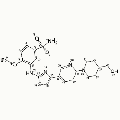 CC(C)Oc1ccc(S(N)(=O)=O)cc1Nc1nc(C2=CCC(N3CCC(CO)CC3)N=C2)cs1